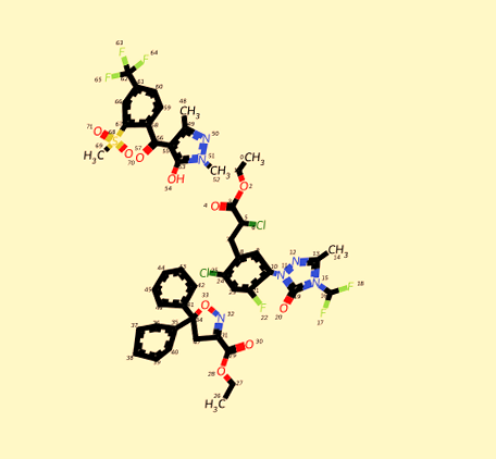 CCOC(=O)C(Cl)Cc1cc(-n2nc(C)n(C(F)F)c2=O)c(F)cc1Cl.CCOC(=O)C1=NOC(c2ccccc2)(c2ccccc2)C1.Cc1nn(C)c(O)c1C(=O)c1ccc(C(F)(F)F)cc1S(C)(=O)=O